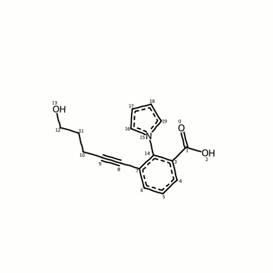 O=C(O)c1cccc(C#CCCCO)c1-n1cccc1